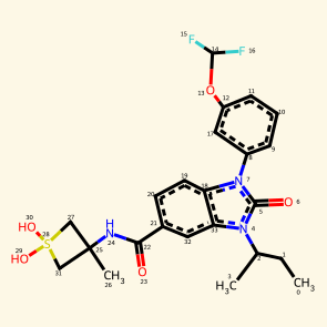 CCC(C)n1c(=O)n(-c2cccc(OC(F)F)c2)c2ccc(C(=O)NC3(C)CS(O)(O)C3)cc21